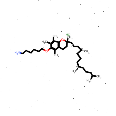 Cc1c(C)c2c(c(C)c1OCCCCCCN)CCC(C)(CCC[C@H](C)CCC[C@H](C)CCCC(C)C)O2.Cl